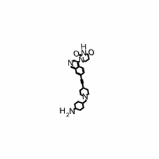 NC1CCC(CN2CCC(C#Cc3ccc4c(N5CCC(=O)NC5=O)cncc4c3)CC2)CC1